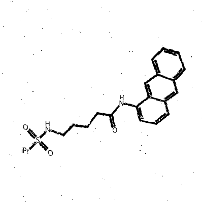 CC(C)S(=O)(=O)NCCCCC(=O)Nc1cccc2cc3ccccc3cc12